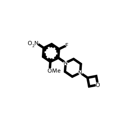 COc1cc([N+](=O)[O-])cc(F)c1N1CCN(C2COC2)CC1